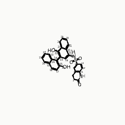 O=C1CCc2cc(S(=O)(=O)Nc3cc(-c4c(O)ccc5ccccc45)c(O)c4ccccc34)ccc2N1